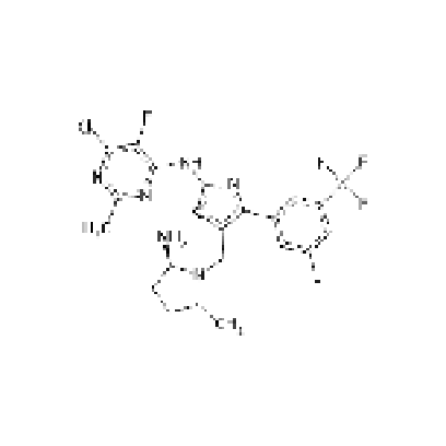 Cc1nc(Cl)c(F)c(Nc2nc(-c3cc(F)cc(C(F)(F)F)c3)c(CN3[C@H](C)CC[C@H]3N)s2)n1